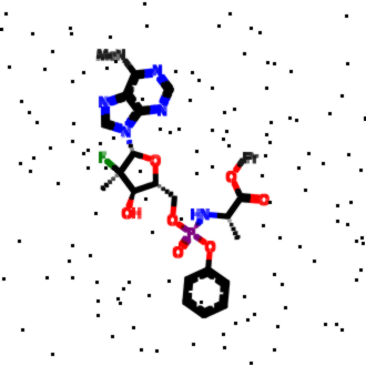 CNc1ncnc2c1ncn2[C@@H]1O[C@H](CO[P@](=O)(N[C@@H](C)C(=O)OC(C)C)Oc2ccccc2)[C@@H](O)[C@@]1(C)F